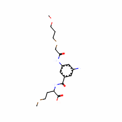 COCCCSCC(=O)Nc1cc(N)cc(C(=O)NC(CCSC)C(=O)O)c1